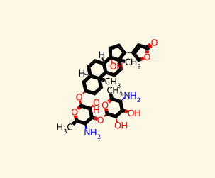 CC1O[C@@H](OC2[C@@H](N)C(C)O[C@@H](O[C@H]3CCC4(C)C5CCC6(C)[C@@H](C7=CC(=O)OC7)CC[C@]6(O)[C@@H]5CC[C@@H]4C3)[C@H]2O)[C@@H](O)C(O)[C@H]1N